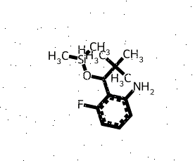 C[SiH](C)OC(c1c(N)cccc1F)C(C)(C)C